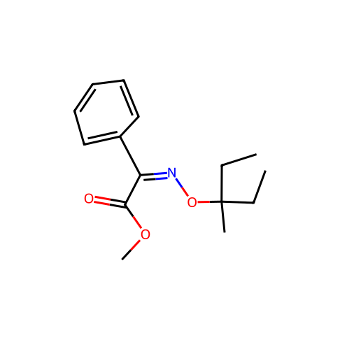 CCC(C)(CC)ON=C(C(=O)OC)c1ccccc1